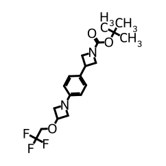 CC(C)(C)OC(=O)N1CC(c2ccc(N3CC(OCC(F)(F)F)C3)cc2)C1